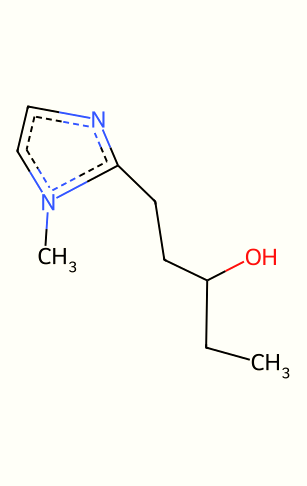 CCC(O)CCc1nccn1C